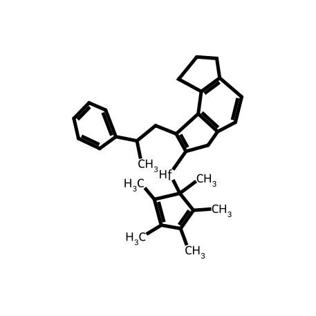 CC1=C(C)[C](C)([Hf][C]2=C(CC(C)c3ccccc3)c3c(ccc4c3CCC4)C2)C(C)=C1C